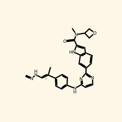 C=NN/C=C(\C)c1ccc(Nc2ccnc(-c3ccc4cc(C(=O)N(C)C5COC5)[nH]c4c3)n2)cc1